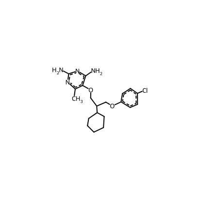 Cc1nc(N)nc(N)c1OCC(COc1ccc(Cl)cc1)C1CCCCC1